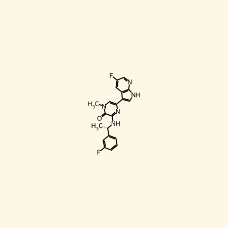 C[C@H](Nc1nc(-c2c[nH]c3ncc(F)cc23)cn(C)c1=O)c1cccc(F)c1